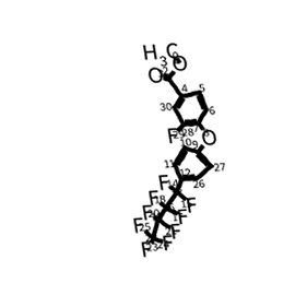 COC(=O)c1ccc(Oc2ccc(C(F)(F)C(F)(F)C(F)(F)C(F)(F)F)cc2)c(F)c1